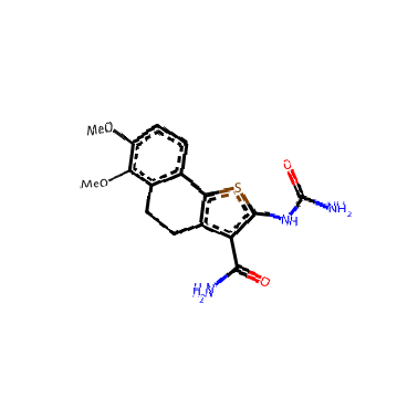 COc1ccc2c(c1OC)CCc1c-2sc(NC(N)=O)c1C(N)=O